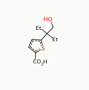 CCC(CC)(CO)c1ccc(C(=O)O)s1